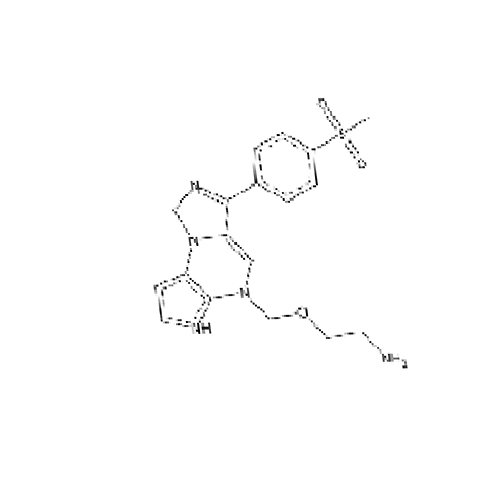 CS(=O)(=O)c1ccc(C2=NCN3C2=CN(COCCN)c2[nH]ccc23)cc1